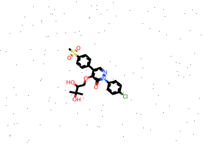 CC(C)(O)C(O)COc1c(-c2ccc(S(C)(=O)=O)cc2)cnn(-c2ccc(Cl)cc2)c1=O